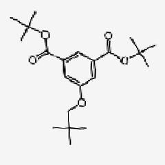 CC(C)(C)COc1cc(C(=O)OC(C)(C)C)cc(C(=O)OC(C)(C)C)c1